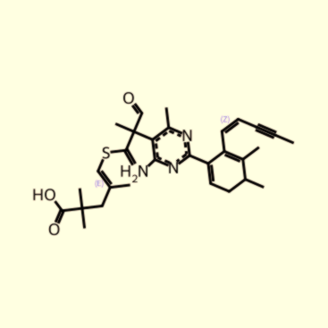 C=C(S/C=C(\C)CC(C)(C)C(=O)O)C(C)(C=O)c1c(C)nc(C2=CCC(C)C(C)=C2/C=C\C#CC)nc1N